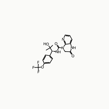 CC(C)(O)[C@@H](NC(=O)N1CC(=O)Nc2cccnc21)c1ccc(OC(F)(F)F)cc1